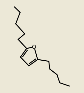 CCCCCc1ccc(CCCCC)o1